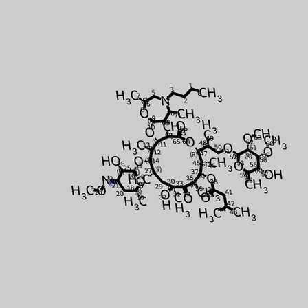 CCCCN1C[C@H](C)O[C@@H](O[C@H]2[C@H](C)[C@@H](O[C@@H]3O[C@H](C)C/C(=N\OC)[C@H]3O)[C@@H](C)C[C@](C)(O)C(=O)[C@H](C)[C@H](OC(=O)CC(C)C)[C@@H](C)[C@@H]([C@@H](C)CO[C@@H]3O[C@H](C)[C@@H](O)[C@@H](OC)[C@H]3OC)OC(=O)[C@@H]2C)CC1C